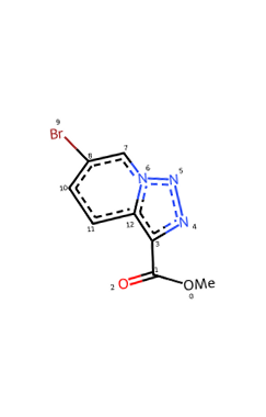 COC(=O)c1nnn2cc(Br)ccc12